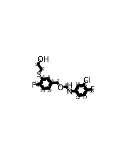 OCCSc1cc(COCNc2ccc(F)c(Cl)c2)ccc1F